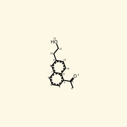 CC(=O)c1cccc2cc(CCO)ccc12